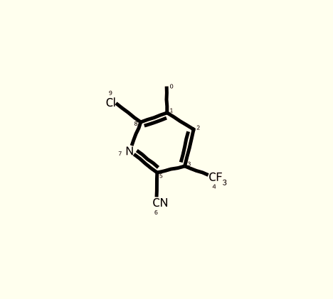 Cc1cc(C(F)(F)F)c(C#N)nc1Cl